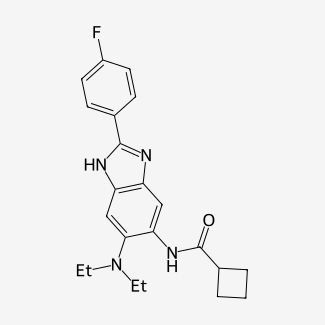 CCN(CC)c1cc2[nH]c(-c3ccc(F)cc3)nc2cc1NC(=O)C1CCC1